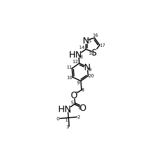 CC(C)(C)NC(=O)OCc1ccc(Nc2nccs2)nc1